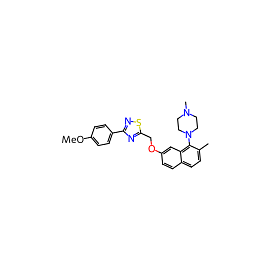 COc1ccc(-c2nsc(COc3ccc4ccc(C)c(N5CCN(C)CC5)c4c3)n2)cc1